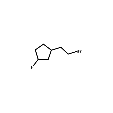 CC(C)CCC1CCC(F)C1